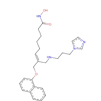 O=C(CCCC/C=C(\CNCCCn1ccnc1)COc1cccc2ccccc12)NO